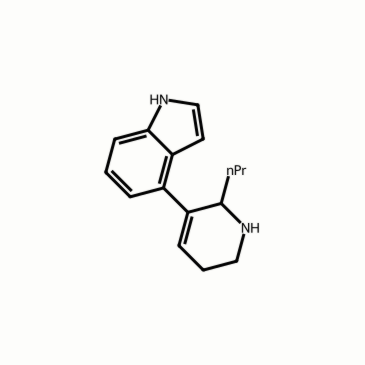 CCCC1NCCC=C1c1cccc2[nH]ccc12